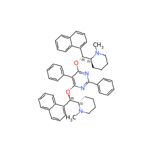 CN1CCCC[C@H]1[C@H](Oc1nc(-c2ccccc2)nc(O[C@H](c2cccc3ccccc23)[C@@H]2CCCCN2C)c1-c1ccccc1)c1cccc2ccccc12